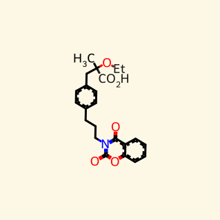 CCOC(C)(Cc1ccc(CCCn2c(=O)oc3ccccc3c2=O)cc1)C(=O)O